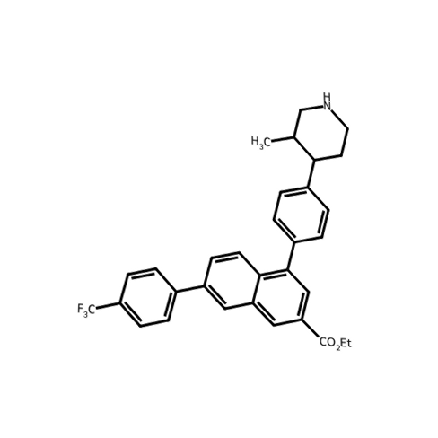 CCOC(=O)c1cc(-c2ccc(C3CCNCC3C)cc2)c2ccc(-c3ccc(C(F)(F)F)cc3)cc2c1